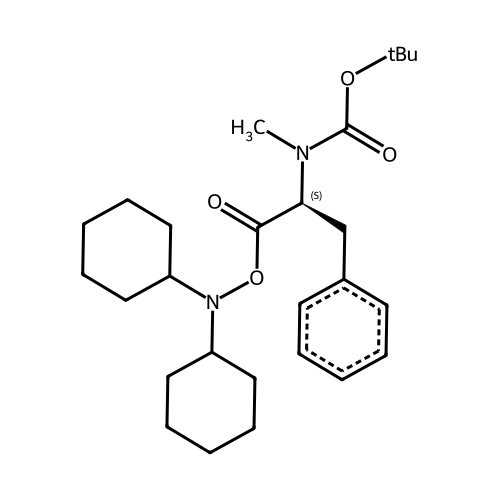 CN(C(=O)OC(C)(C)C)[C@@H](Cc1ccccc1)C(=O)ON(C1CCCCC1)C1CCCCC1